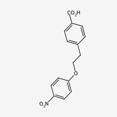 O=C(O)c1ccc(CCOc2ccc([N+](=O)[O-])cc2)cc1